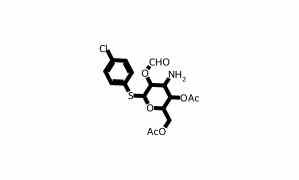 CC(=O)OCC1OC(Sc2ccc(Cl)cc2)C(OC=O)C(N)C1OC(C)=O